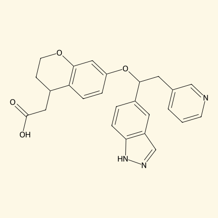 O=C(O)CC1CCOc2cc(OC(Cc3cccnc3)c3ccc4[nH]ncc4c3)ccc21